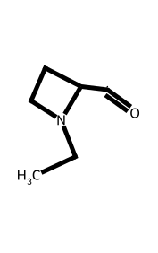 CCN1CCC1[C]=O